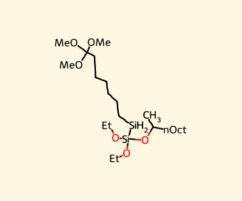 CCCCCCCCC(C)O[Si](OCC)(OCC)[SiH2]CCCCCCC(OC)(OC)OC